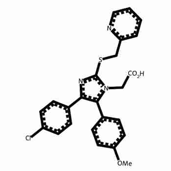 COc1ccc(-c2c(-c3ccc(Cl)cc3)nc(SCc3ccccn3)n2CC(=O)O)cc1